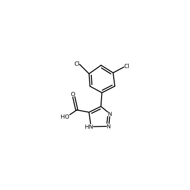 O=C(O)c1[nH]nnc1-c1cc(Cl)cc(Cl)c1